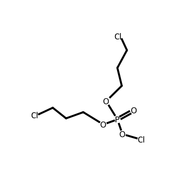 O=P(OCl)(OCCCCl)OCCCCl